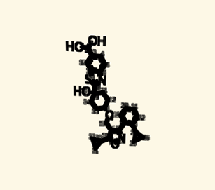 OC(O)c1ccc2nc([C@]3(O)CC[C@@H](OCc4c(-c5ccccc5C5CC5)noc4C4CC4)CC3)sc2c1